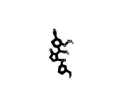 COc1cc(C#N)ccc1C(N)C1=C(Nc2cccc(CF)c2)CCC1=O